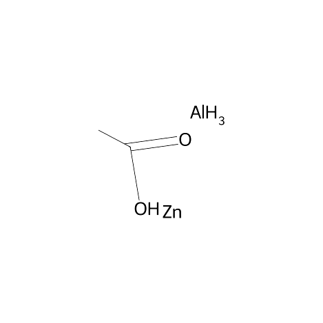 CC(=O)O.[AlH3].[Zn]